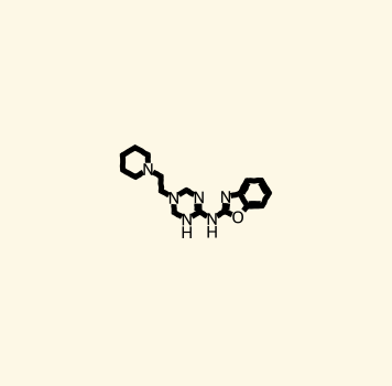 c1ccc2oc(NC3=NCN(CCN4CCCCC4)CN3)nc2c1